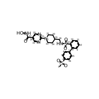 CS(=O)(=O)c1ccc(-c2ccccc2S(=O)(=O)NCC2CCN(c3ncc(C(=O)NO)cn3)CC2)cc1